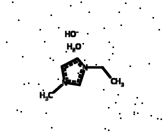 CCn1cc[n+](C)c1.O.[OH-]